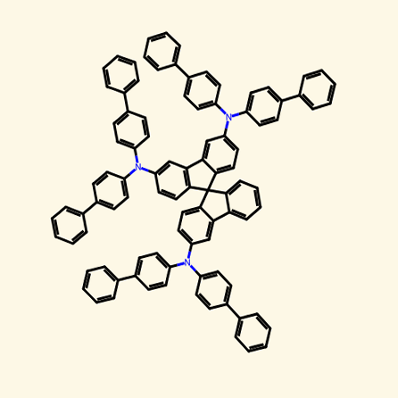 c1ccc(-c2ccc(N(c3ccc(-c4ccccc4)cc3)c3ccc4c(c3)-c3ccccc3C43c4ccc(N(c5ccc(-c6ccccc6)cc5)c5ccc(-c6ccccc6)cc5)cc4-c4cc(N(c5ccc(-c6ccccc6)cc5)c5ccc(-c6ccccc6)cc5)ccc43)cc2)cc1